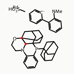 CNc1ccccc1-c1[c-]cccc1.CS(=O)(=O)O.[Pd].c1ccc(P(C23CC4CC(CC(C4)C2)C3)C23CC4CC(CC(C4)C2)C3)c(N2CCOCC2)c1